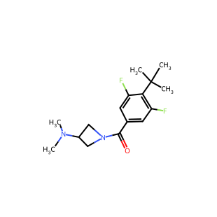 CN(C)C1CN(C(=O)c2cc(F)c(C(C)(C)C)c(F)c2)C1